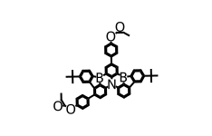 CC1OC1Oc1ccc(-c2cc3c4c(c2)B2c5ccc(C(C)(C)C)cc5-c5c(-c6ccc(OC7OC7C)cc6)ccc(c52)N4c2cccc4c2B3c2ccc(C(C)(C)C)cc2-4)cc1